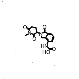 CN1C(=O)CCC(N2Cc3c(NC(=O)O)cccc3C2=O)C1=O